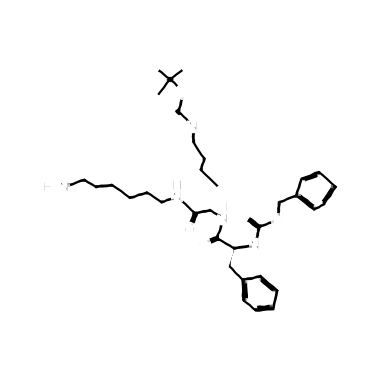 CC(C)(C)OC(=O)NCCCC[C@H](NC(=O)[C@H](Cc1ccccc1)NC(=O)OCc1ccccc1)C(=O)NCCCCCCN